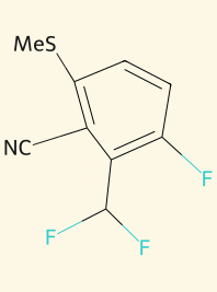 CSc1ccc(F)c(C(F)F)c1C#N